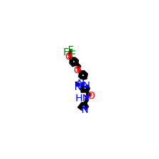 O=C(NCc1cccnc1)c1cnc2c(c1)ncn2-c1cccc(OCc2ccc(OC(F)(F)F)cc2)c1